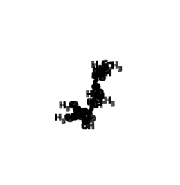 COC(=O)[C@H](CCC(=O)NCCCCCC(=O)N1C[C@H](O)C[C@H]1COC(c1ccccc1)(c1ccc(OC)cc1)c1ccc(OC)cc1)NC(=O)c1ccc(CCC2=CCc3nc(NC(=O)C(C)C)[nH]c(=O)c32)cc1